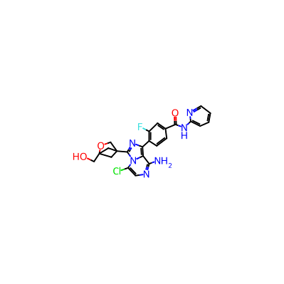 Nc1ncc(Cl)n2c(C34COC(CO)(C3)C4)nc(-c3ccc(C(=O)Nc4ccccn4)cc3F)c12